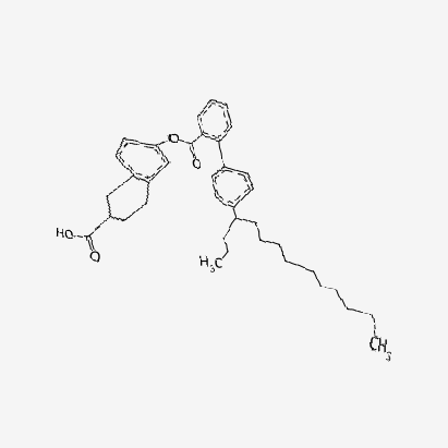 CCCCCCCCCCC(CCC)c1ccc(-c2ccccc2C(=O)Oc2ccc3c(c2)CCC(C(=O)O)C3)cc1